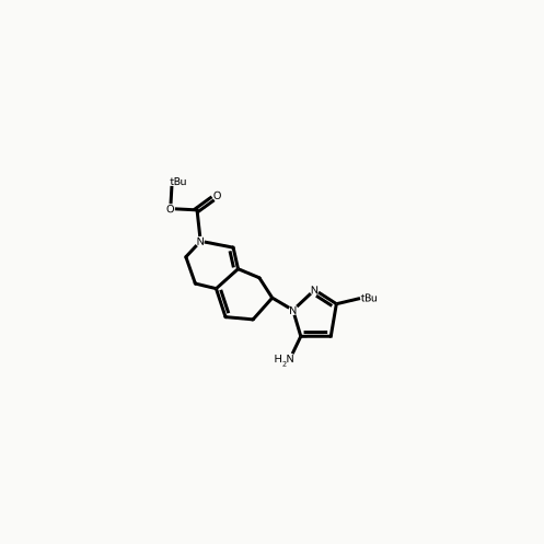 CC(C)(C)OC(=O)N1C=C2CC(n3nc(C(C)(C)C)cc3N)CC=C2CC1